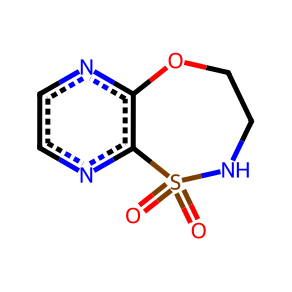 O=S1(=O)NCCOc2nccnc21